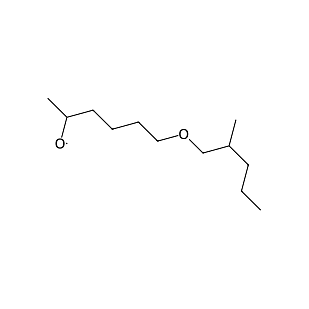 CCCC(C)COCCCCC(C)[O]